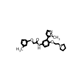 Cc1cccc(OCC(=O)Nc2ccc(OCCN3CCCC3)c(-c3ccnn3C)c2)c1